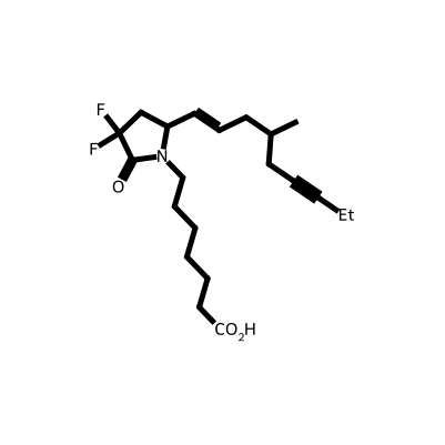 CCC#CCC(C)C/C=C/C1CC(F)(F)C(=O)N1CCCCCCC(=O)O